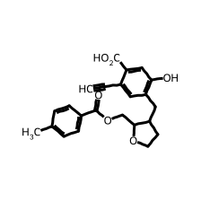 C#Cc1cc(CC2CCOC2COC(=O)c2ccc(C)cc2)c(O)cc1C(=O)O